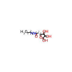 CCCCNC(=O)C[C@H]1OC(O)[C@H](O)[C@@H]1O